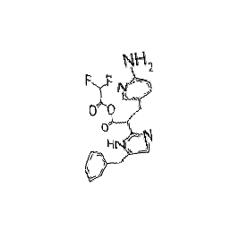 Nc1ccc(CC(C(=O)OC(=O)C(F)F)c2ncc(Cc3ccccc3)[nH]2)cn1